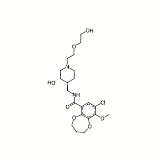 COc1c(Cl)cc(C(=O)NC[C@@H]2CCN(CCOCCO)C[C@H]2O)c2c1OCCCO2